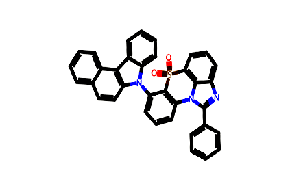 O=S1(=O)c2c(cccc2-n2c3ccccc3c3c4ccccc4ccc32)-n2c(-c3ccccc3)nc3cccc1c32